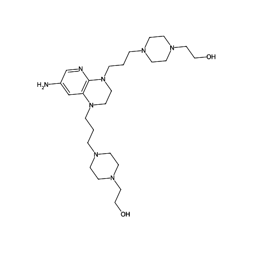 Nc1cnc2c(c1)N(CCCN1CCN(CCO)CC1)CCN2CCCN1CCN(CCO)CC1